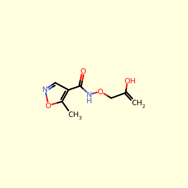 C=C(O)CONC(=O)c1cnoc1C